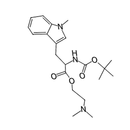 CN(C)CCOC(=O)C(Cc1cn(C)c2ccccc12)NC(=O)OC(C)(C)C